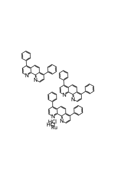 Cl.Cl.[Ru].c1ccc(-c2ccnc3c2ccc2c(-c4ccccc4)ccnc23)cc1.c1ccc(-c2ccnc3c2ccc2c(-c4ccccc4)ccnc23)cc1.c1ccc(-c2ccnc3c2ccc2c(-c4ccccc4)ccnc23)cc1